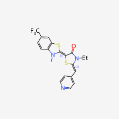 CCn1c(=O)/c(=C2\Sc3cc(C(F)(F)F)ccc3N2C)s/c1=C\c1ccncc1